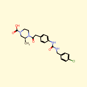 C[C@H]1CN(C(=O)O)CCN1C(=O)Cc1ccc(NC(=O)NCc2ccc(Cl)cc2)cc1